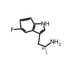 C[C@@H](N)Cc1c[nH]c2ccc(F)cc12